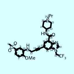 COc1ccc(S(C)(=O)=O)cc1NCC#Cc1cc(C(=O)NC2CCN(C(C)C)CC2)c2ncn(CC(F)(F)F)c2c1